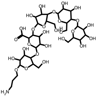 NCCCOC1OC(CO)C(OC2OC(C(=O)O)C(OC3OC(CO)C(OC4OC(CO)C(OC5OC(CO)C(O)C(O)C5O)C(O)C4O)C(O)C3O)C(O)C2O)C(O)C1O